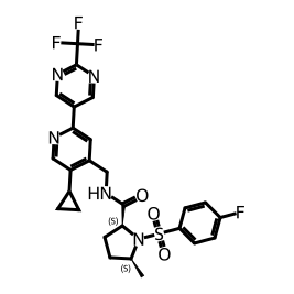 C[C@H]1CC[C@@H](C(=O)NCc2cc(-c3cnc(C(F)(F)F)nc3)ncc2C2CC2)N1S(=O)(=O)c1ccc(F)cc1